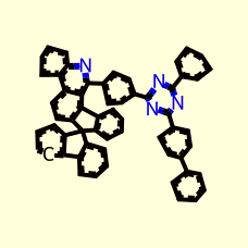 c1ccc(-c2ccc(-c3nc(-c4ccccc4)nc(-c4ccc(-c5nc6ccccc6c6ccc7c(c56)-c5ccccc5C75c6ccccc6-c6ccccc65)cc4)n3)cc2)cc1